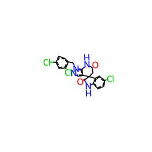 O=C1CC2(C(=O)Nc3ccc(Cl)cc32)c2cnn(Cc3ccc(Cl)cc3Cl)c2N1